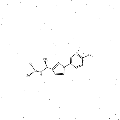 C[C@H](N[S@+]([O-])C(C)(C)C)c1ccn(-c2ccc(C(F)(F)F)nc2)n1